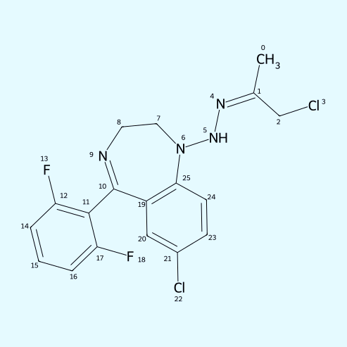 CC(CCl)=NNN1CCN=C(c2c(F)cccc2F)c2cc(Cl)ccc21